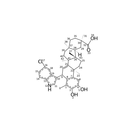 Cc1c(O)c(O)cc2c1C(c1c[nH]c3ccc(Cl)cc13)C=C1[C@@]2(C)CC[C@@]2(C)[C@@H]3C[C@](C)(C(=O)O)CC[C@]3(C)CC[C@]12C